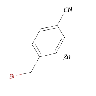 N#Cc1ccc(CBr)cc1.[Zn]